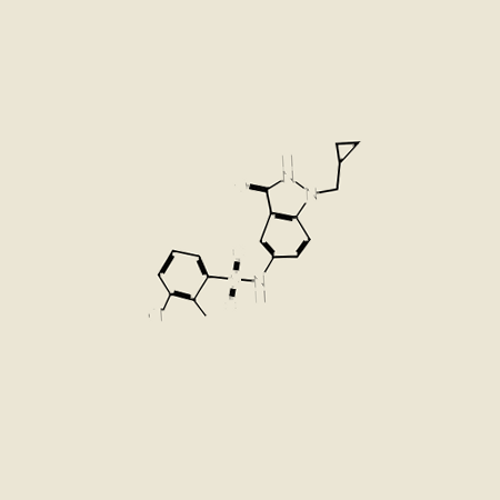 Cc1c(Cl)cccc1S(=O)(=O)Nc1ccc2c(c1)c(=O)[nH]n2CC1CC1